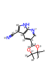 CC1(C)OB(c2cnc3[nH]cc(C#N)c3c2)OC1(C)C